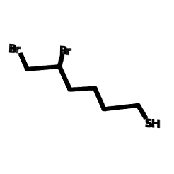 SCCCCC(Br)CBr